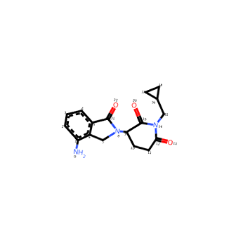 Nc1cccc2c1CN(C1CCC(=O)N(CC3CC3)C1=O)C2=O